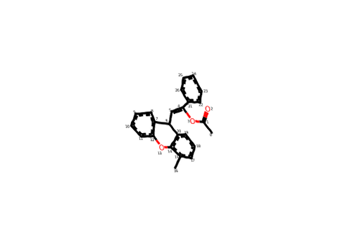 CC(=O)OC(=CC1c2ccccc2Oc2c(C)cccc21)c1ccccc1